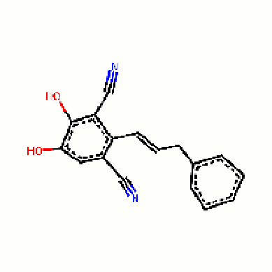 N#Cc1cc(O)c(O)c(C#N)c1C=CCc1ccccc1